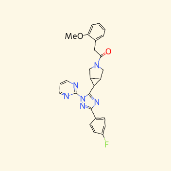 COc1ccccc1CC(=O)N1CC2C(C1)C2c1nc(-c2ccc(F)cc2)nn1-c1ncccn1